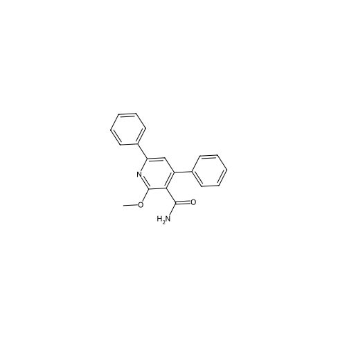 COc1nc(-c2ccccc2)cc(-c2ccccc2)c1C(N)=O